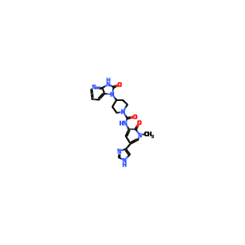 Cn1cc(-c2c[nH]cn2)cc(NC(=O)N2CCC(n3c(=O)[nH]c4ncccc43)CC2)c1=O